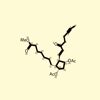 CC#CCCC(=O)/C=C/[C@@H]1[C@@H](CCCCCCC(=O)OC)[C@@H](OC(C)=O)C[C@H]1OC(C)=O